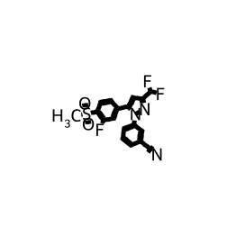 CS(=O)(=O)c1ccc(-c2cc(C(F)F)nn2-c2cccc(C#N)c2)cc1F